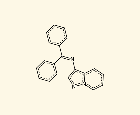 c1ccc(C(=Nc2cnn3ccccc23)c2ccccc2)cc1